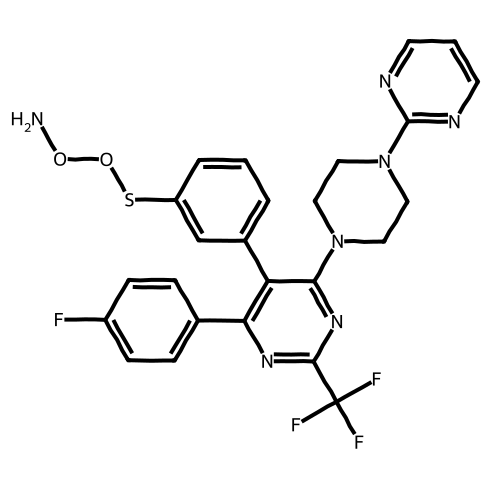 NOOSc1cccc(-c2c(-c3ccc(F)cc3)nc(C(F)(F)F)nc2N2CCN(c3ncccn3)CC2)c1